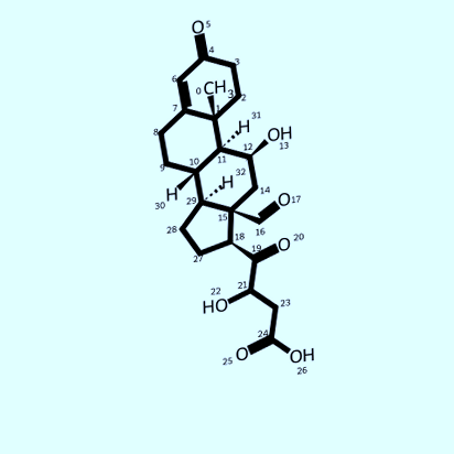 C[C@]12CCC(=O)C=C1CC[C@@H]1[C@@H]2[C@@H](O)C[C@]2(C=O)[C@@H](C(=O)C(O)CC(=O)O)CC[C@@H]12